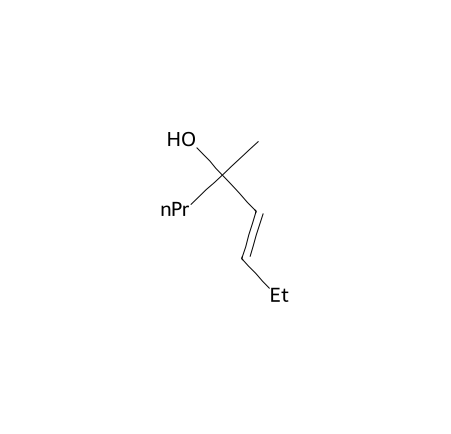 CC/C=C/C(C)(O)CCC